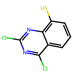 Sc1cccc2c(Cl)nc(Cl)nc12